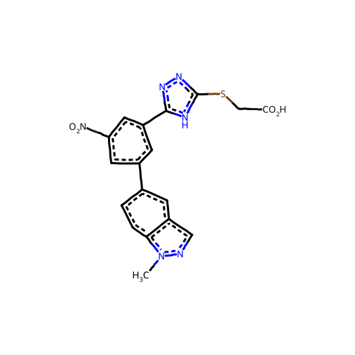 Cn1ncc2cc(-c3cc(-c4nnc(SCC(=O)O)[nH]4)cc([N+](=O)[O-])c3)ccc21